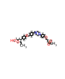 CC#C[C@@H](CC(=O)CO)c1ccc(OCc2ccc(CN3CCN(c4ccc(OCCCS(C)(=O)=O)cc4)CC3)cc2)cc1